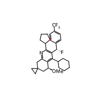 CO[C@H]1CC2(CC2)Cc2nc(C3CCCC3)c([C@@H](F)c3ccc(C(F)(F)F)cc3)c(C3CCCCC3)c21